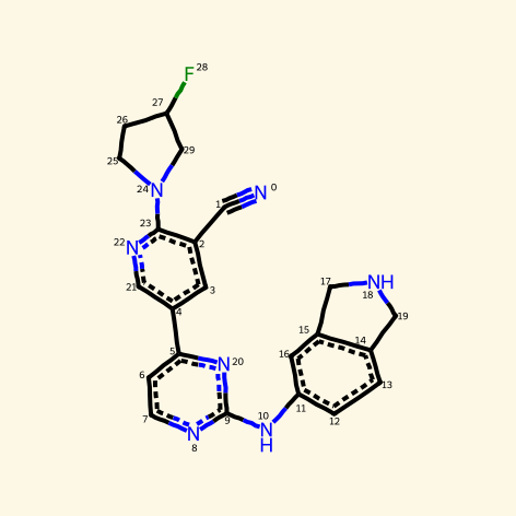 N#Cc1cc(-c2ccnc(Nc3ccc4c(c3)CNC4)n2)cnc1N1CCC(F)C1